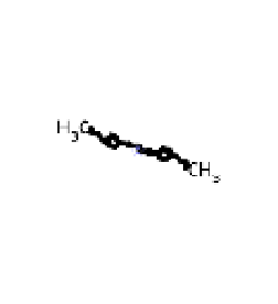 CCCCCc1ccc(C#C/C=C/C#Cc2ccc(CCCCC)cc2)cc1